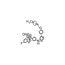 CN1CCN(CCOc2ccc(-c3cc(Nc4ccc(N(OC=O)S(=O)(=O)c5ccc(F)cc5F)cc4)ncn3)cc2)CC1